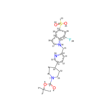 CC(C)(C)OC(=O)N1CCC(c2ccc(Cn3ccc4cc(S(C)(=O)=O)cc(F)c43)nc2)CC1